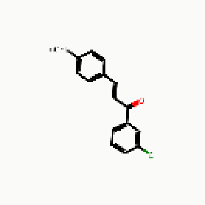 CCCCCCCCc1ccc(C=CC(=O)c2cccc(Cl)c2)cc1